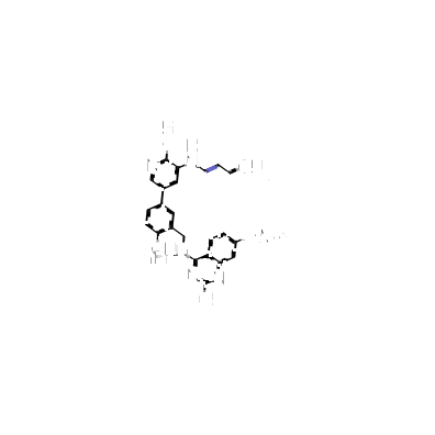 C=C/C=C/Nc1cc(-c2ccc(C)c(CN(CCC)c3nc(C)nc4cc(OC)ccc34)c2)cnc1C